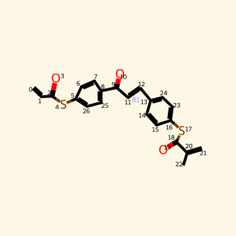 C=CC(=O)Sc1ccc(C(=O)/C=C/c2ccc(SC(=O)C(=C)C)cc2)cc1